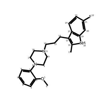 COc1ccccc1N1CCN(CCCc2c(C)[nH]c3cc(F)ccc23)CC1